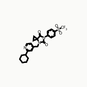 O=C1N(c2ccc(S(=O)(=O)C(F)(F)F)cc2)C(=O)C2(CC2)N1Cc1ccnc(C2CCCCC2)c1